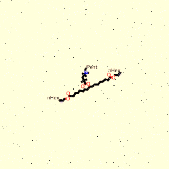 CCCCCC/C=C\COC(=O)CCCCCCCC(CCCCCCCC(=O)OC/C=C\CCCCCC)OC(=O)C(C)(C)CC(C)(C)N(C)CC(C)CCC